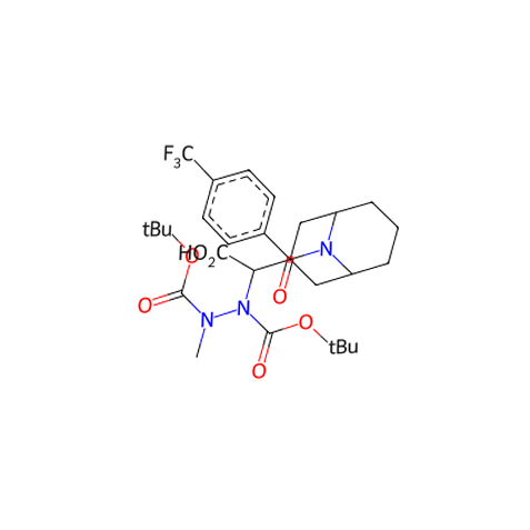 CN(C(=O)OC(C)(C)C)N(C(=O)OC(C)(C)C)C(C(=O)O)C1CC2CCCC(C1)N2C(=O)c1ccc(C(F)(F)F)cc1